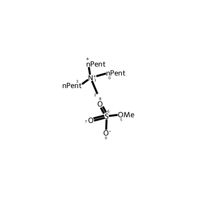 CCCCC[N+](C)(CCCCC)CCCCC.COS(=O)(=O)[O-]